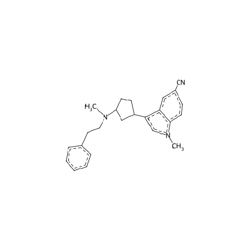 CN(CCc1ccccc1)C1CCC(c2cn(C)c3ccc(C#N)cc23)C1